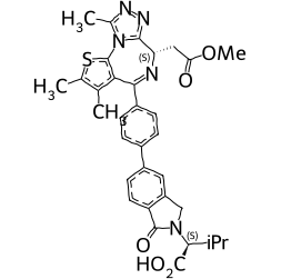 COC(=O)C[C@@H]1N=C(c2ccc(-c3ccc4c(c3)CN([C@H](C(=O)O)C(C)C)C4=O)cc2)c2c(sc(C)c2C)-n2c(C)nnc21